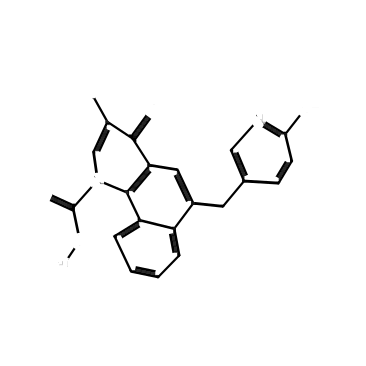 Cc1ccc(Cc2cc3c(=O)c(I)cn(C(=O)OC(C)(C)C)c3c3ccccc23)cn1